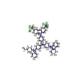 C=Cc1ccc2c(c1)c1ccccc1n2-c1ccc(N(c2ccc(-n3c4c(c5ccccc53)CCC=C4)cc2)c2ccc(-n3c4ccc(C(F)(F)F)cc4c4cc(C(F)(F)F)ccc43)cc2)cc1